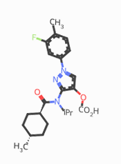 Cc1ccc(-n2cc(OC(=O)O)c(N(C(=O)[C@H]3CC[C@H](C)CC3)C(C)C)n2)cc1F